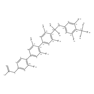 C=C(C)Cc1ccc(-c2cc(F)c(-c3cc(F)c(C(F)(F)Oc4cc(F)c(C(F)(F)F)c(F)c4)c(F)c3)c(F)c2)c(F)c1